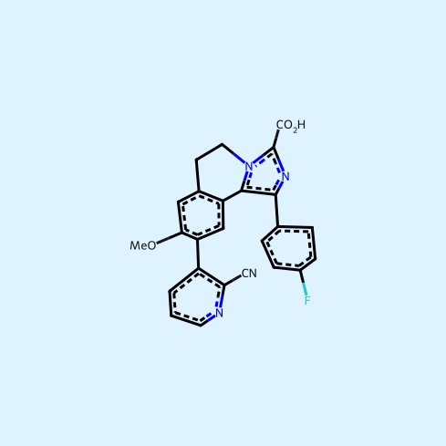 COc1cc2c(cc1-c1cccnc1C#N)-c1c(-c3ccc(F)cc3)nc(C(=O)O)n1CC2